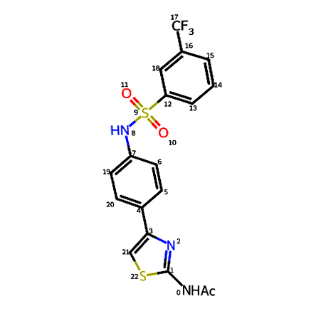 CC(=O)Nc1nc(-c2ccc(NS(=O)(=O)c3cccc(C(F)(F)F)c3)cc2)cs1